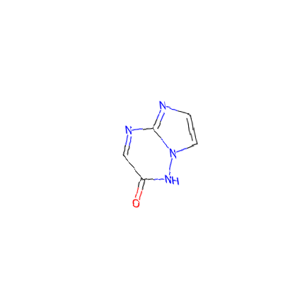 O=c1cnc2nccn2[nH]1